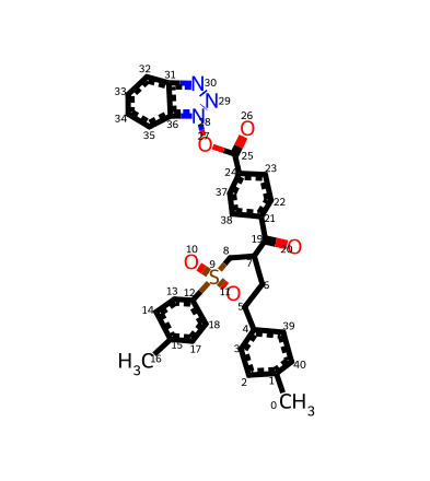 Cc1ccc(CCC(CS(=O)(=O)c2ccc(C)cc2)C(=O)c2ccc(C(=O)On3nnc4ccccc43)cc2)cc1